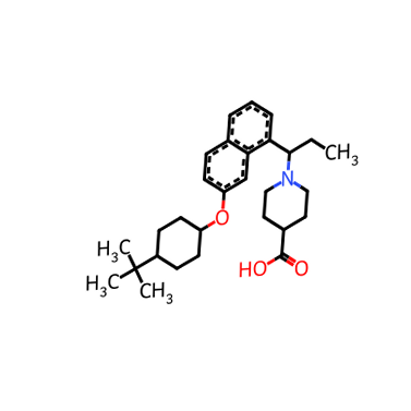 CCC(c1cccc2ccc(OC3CCC(C(C)(C)C)CC3)cc12)N1CCC(C(=O)O)CC1